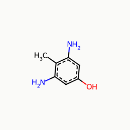 Cc1c(N)cc(O)cc1N